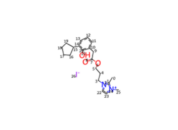 Cc1n(CCCOC(=O)Cc2cccc(C3CCCC3)c2O)cc[n+]1C.[I-]